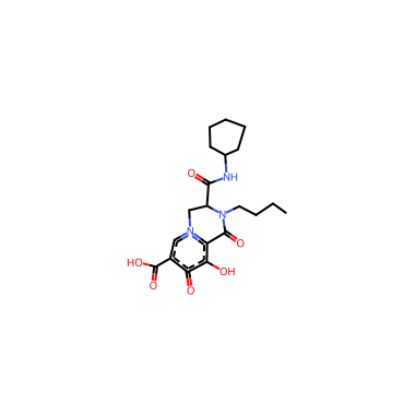 CCCCN1C(=O)c2c(O)c(=O)c(C(=O)O)cn2CC1C(=O)NC1CCCCC1